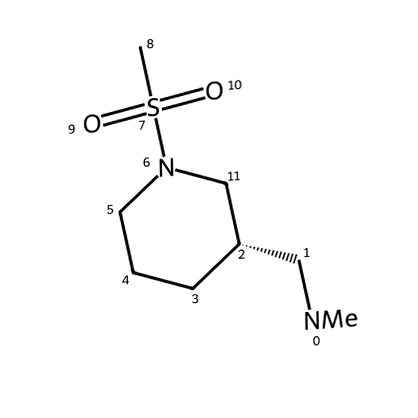 CNC[C@@H]1CCCN(S(C)(=O)=O)C1